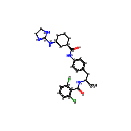 O=C(N[C@@H](Cc1ccc(NC(=O)[C@@H]2CCC[C@H](NC3=NCCN3)C2)cc1)C(=O)O)c1c(Cl)cccc1Cl